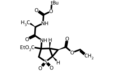 C=COC(=O)[C@@H]1[C@@H]2[C@H]1S(=O)(=O)CC2(NC(=O)[C@@H](C)NC(=O)OC(C)(C)C)C(=O)OCC